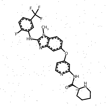 Cn1c(Nc2cc(C(F)(F)F)ccc2F)nc2cc(Oc3ccnc(NC(=O)[C@@H]4CCCCN4)c3)ccc21